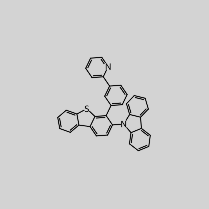 c1ccc(-c2cccc(-c3c(-n4c5ccccc5c5ccccc54)ccc4c3sc3ccccc34)c2)nc1